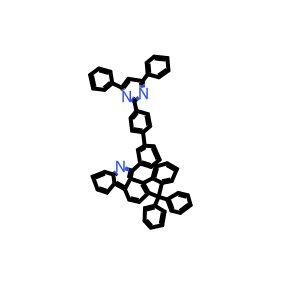 c1ccc(-c2cc(-c3ccccc3)nc(-c3ccc(-c4cccc(-c5nc6ccccc6c6ccc7c(c56)-c5ccccc5C7(c5ccccc5)c5ccccc5)c4)cc3)n2)cc1